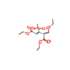 CCOC=C(C(=O)OCC)C(=CC(=O)OCC)S(C)(=O)=O